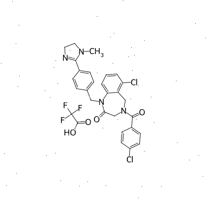 CN1CCN=C1c1ccc(CN2C(=O)CN(C(=O)c3ccc(Cl)cc3)Cc3c(Cl)cccc32)cc1.O=C(O)C(F)(F)F